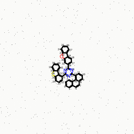 c1ccc2c(c1)ccc1cccc(-c3nc(-c4ccc5c(c4)oc4ccccc45)nc(-c4cccc5sc6ccccc6c45)n3)c12